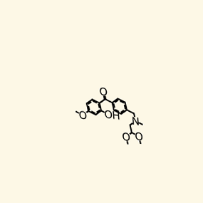 COc1ccc(C(=O)c2ccc(CN(C)CC(OC)OC)cc2)c(O)c1